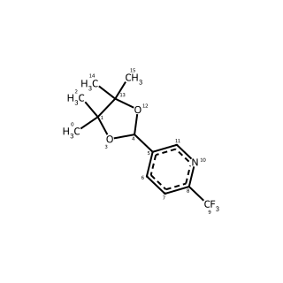 CC1(C)OC(c2ccc(C(F)(F)F)nc2)OC1(C)C